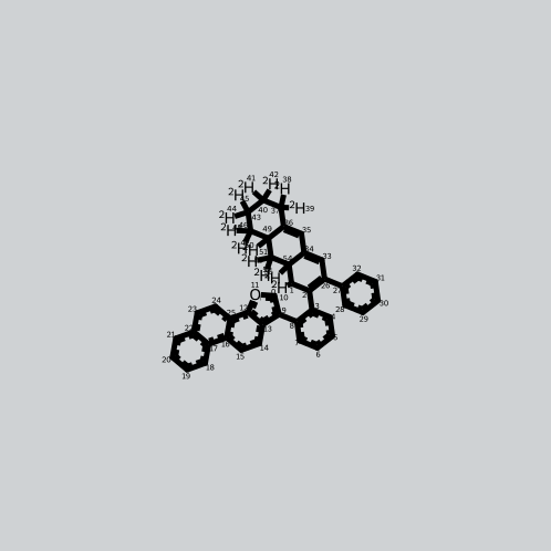 [2H]C1C(c2ccccc2-c2coc3c2ccc2c4ccccc4ccc23)=C(c2ccccc2)C=C2C=C3C([2H])([2H])C([2H])([2H])C([2H])([2H])C([2H])([2H])C3([2H])C([2H])([2H])C21[2H]